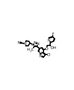 Cc1c(-c2cc(OCC(O)c3ccc(F)cn3)c3c(Cl)cnn3c2)nnn1C1CCN(C#N)CC1